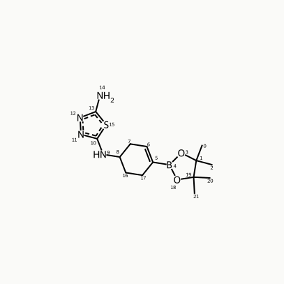 CC1(C)OB(C2=CCC(Nc3nnc(N)s3)CC2)OC1(C)C